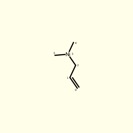 C=C[CH2][Ni]([CH3])[CH3]